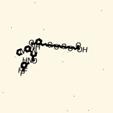 O=C(O)CCOCCOCCOCCOCCCc1cccc(C(=O)Nc2ccc(N3CCCCC3)cc2-c2cc(C(=O)NCc3cccc(C(F)(F)F)c3)ccn2)c1